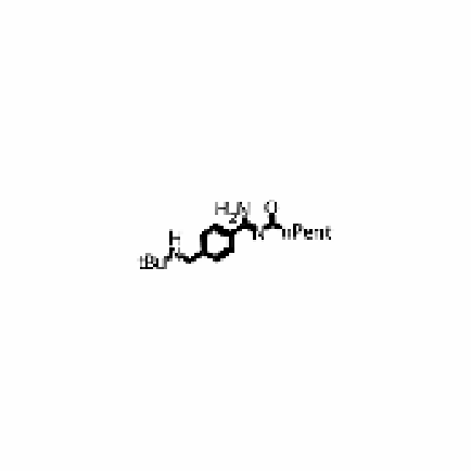 CCCCCC(=O)/N=C(\N)c1ccc(CNC(C)(C)C)cc1